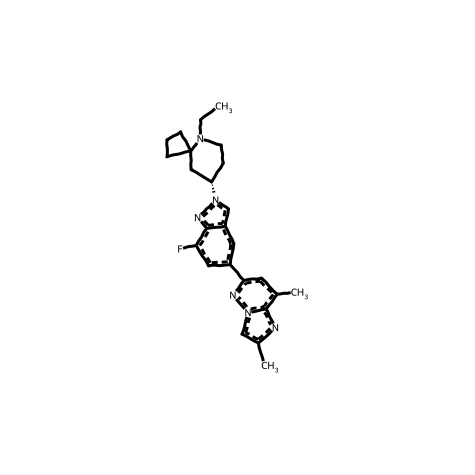 CCN1CC[C@H](n2cc3cc(-c4cc(C)c5nc(C)cn5n4)cc(F)c3n2)CC12CCC2